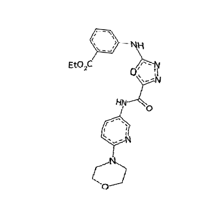 CCOC(=O)c1cccc(Nc2nnc(C(=O)Nc3ccc(N4CCOCC4)nc3)o2)c1